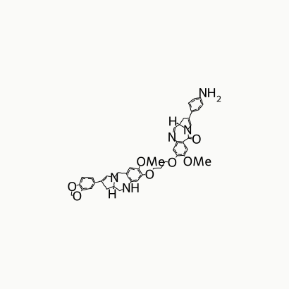 COc1cc2c(cc1OCCCOc1cc3c(cc1OC)CN1C=C(c4ccc5c(c4)OCO5)C[C@H]1CN3)N=C[C@@H]1CC(c3ccc(N)cc3)=CN1C2=O